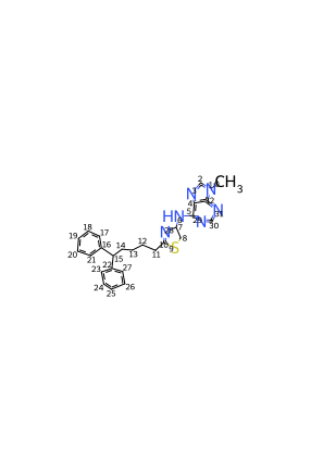 Cn1cnc2c(NC3CSC(CCCCC(c4ccccc4)c4ccccc4)=N3)ncnc21